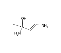 CC(N)(O)C=CN